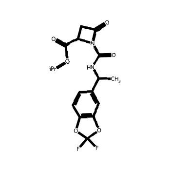 CC(C)OC(=O)C1CC(=O)N1C(=O)NC(C)c1ccc2c(c1)OC(F)(F)O2